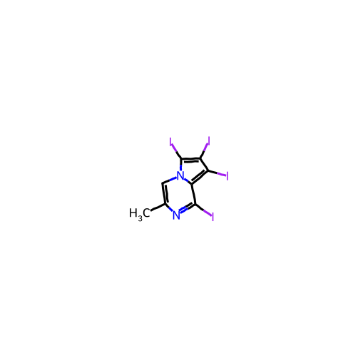 Cc1cn2c(I)c(I)c(I)c2c(I)n1